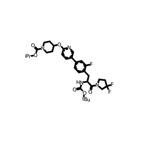 CC(C)OC(=O)N1CCC(Oc2ccc(-c3ccc(CC(NC(=O)OC(C)(C)C)C(=O)N4CCC(F)(F)C4)c(F)c3)cn2)CC1